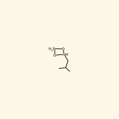 CC(C)C[SiH]1O[SiH2]O1